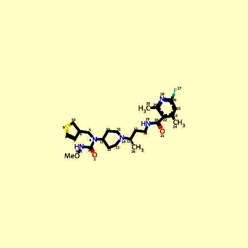 CONC(=O)N(CC1C=CSC1)C1CCN([C@H](C)CCNC(=O)c2c(C)cc(F)nc2C)CC1